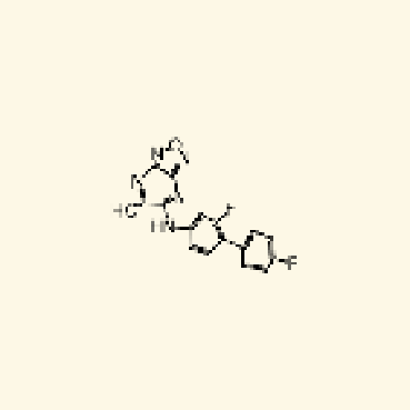 Oc1nc2nonc2nc1Nc1ccc(-c2ccc(F)cc2)c(F)c1